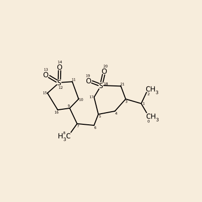 CC(C)C1CC(CC(C)C2CCS(=O)(=O)CC2)CS(=O)(=O)C1